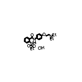 CCN(CC)CCOc1ccc(NC(=O)c2ccccc2NS(=O)(=O)CC)cc1.Cl